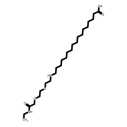 CCNC(=O)COCCOCCNCCCCCCCCCCCCCCCCC(=O)O